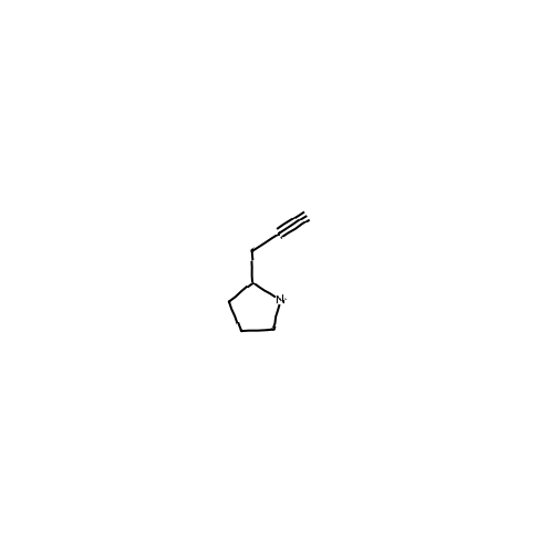 C#CCC1CCC[N]1